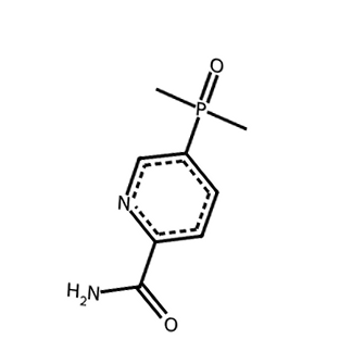 CP(C)(=O)c1ccc(C(N)=O)nc1